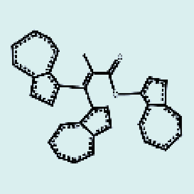 CC(C(=O)Oc1ccc2cccccc1-2)=C(c1ccc2cccccc1-2)c1ccc2cccccc1-2